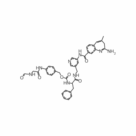 CC1=Cc2ccc(C(=O)Nc3cncc(CNC(=O)C(Cc4ccccc4)NC(=O)OCc4ccc(NC(=O)CNC=O)cc4)c3)cc2N=C(N)C1